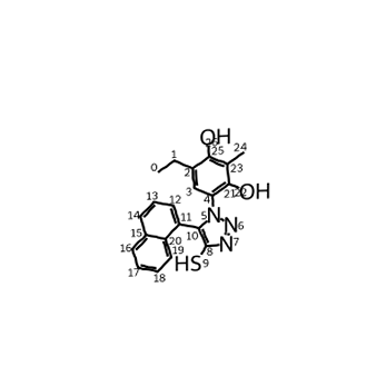 CCc1cc(-n2nnc(S)c2-c2cccc3ccccc23)c(O)c(C)c1O